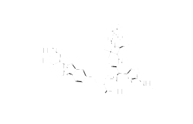 C[n+]1c2ccc(OC[C@H](O/N=C(\C(=O)NC3C(=O)N(OS(=O)(=O)[O-])C3(C)C)c3csc(N)n3)C(=O)O)cc2cn1C(CN)CO